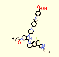 CC(=O)N1CCc2c(c(N3CCCc4cc(-c5cnn(C)c5)c(C(F)F)cc43)nn2C2CCN(C3CCC4(CC3)CN(c3ccc(C(=O)O)cc3)C4)CC2)C1